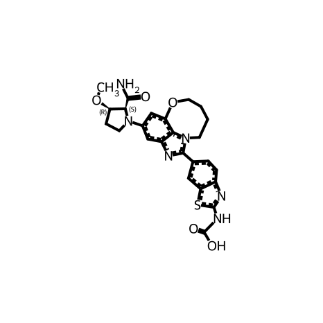 CO[C@@H]1CCN(c2cc3c4c(c2)nc(-c2ccc5nc(NC(=O)O)sc5c2)n4CCCCO3)[C@@H]1C(N)=O